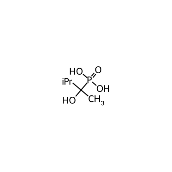 CC(C)C(C)(O)P(=O)(O)O